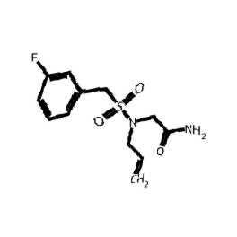 C=CCN(CC(N)=O)S(=O)(=O)Cc1cccc(F)c1